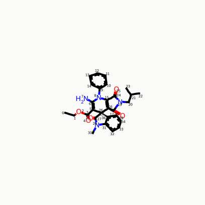 CCOC(=O)C1=C(N)N(c2ccccc2)C2=C(C(=O)N(CC(C)C)C2=O)[C@]12C(=O)N(C)c1ccccc12